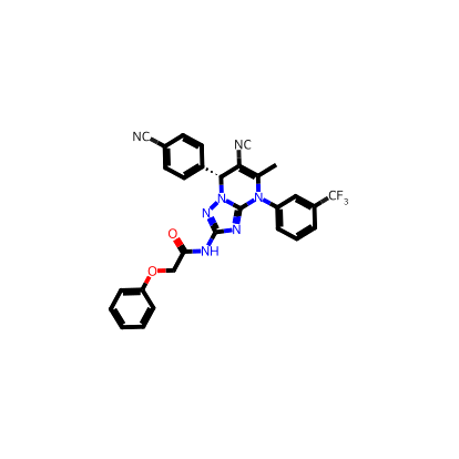 [C-]#[N+]C1=C(C)N(c2cccc(C(F)(F)F)c2)c2nc(NC(=O)COc3ccccc3)nn2[C@@H]1c1ccc(C#N)cc1